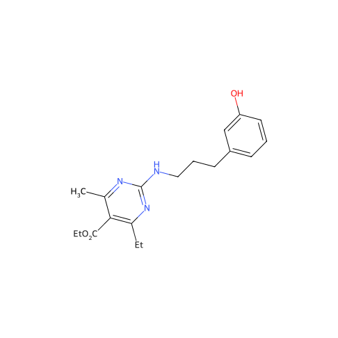 CCOC(=O)c1c(C)nc(NCCCc2cccc(O)c2)nc1CC